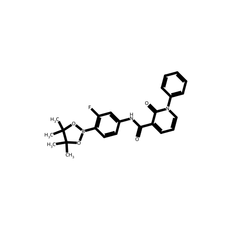 CC1(C)OB(c2ccc(NC(=O)c3cccn(-c4ccccc4)c3=O)cc2F)OC1(C)C